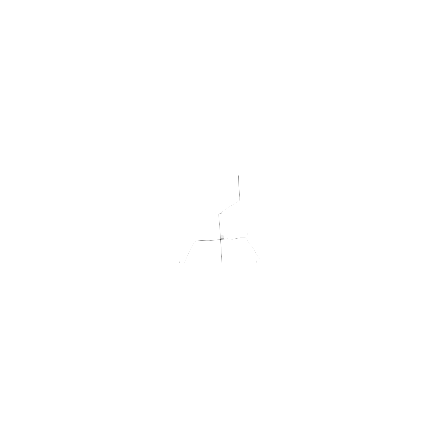 [CH2]C[CH]C(C)(CC)CC